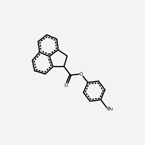 CCC(C)c1ccc(OC(=O)C2Cc3cccc4cccc2c34)cc1